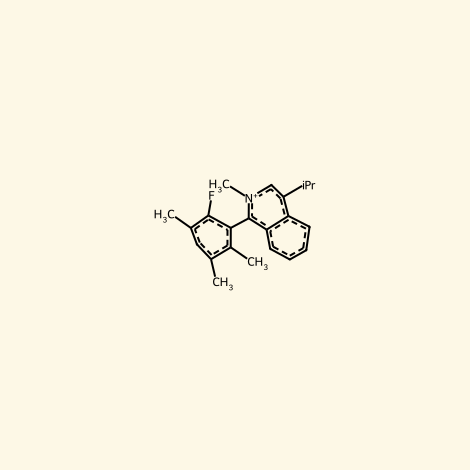 Cc1cc(C)c(F)c(-c2c3ccccc3c(C(C)C)c[n+]2C)c1C